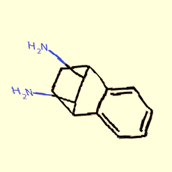 NC1C2CCC(c3ccccc32)C1N